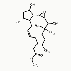 CCCCC(C)(C)[C@H](O)C1OC1[C@@H]1[C@@H](C/C=C\CCCC(=O)OC)[C@H](Cl)C[C@H]1O